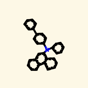 c1ccc(-c2ccc(N(c3ccccc3)c3cc4ccccc4c4ccccc34)cc2)cc1